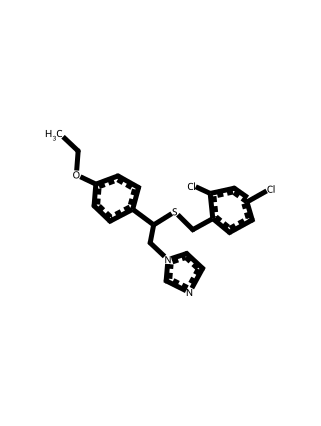 CCOc1ccc(C(Cn2ccnc2)SCc2ccc(Cl)cc2Cl)cc1